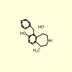 C[C@H]1CNCCc2c1ccc(O)c2Cc1ccccc1.Cl